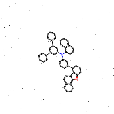 c1ccc(-c2cc(-c3ccccc3)cc(N(c3cccc(-c4cccc5oc6c7ccccc7ccc6c45)c3)c3cccc4ccccc34)c2)cc1